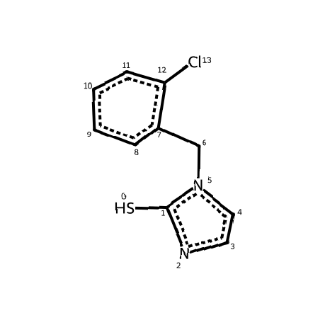 Sc1nccn1Cc1ccccc1Cl